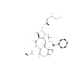 C=CC1O[C@H]2C[C@H]3OC[C@@]3(OC(C)=O)[C@H]3[C@H](OC(=O)c4ccccc4)[C@]4(C(C)(C)O)C[C@H](OC(=O)[C@H](O)[C@@H](C)CC(C)C)C(C)=C4[C@H](C)[C@H](O1)[C@]23C